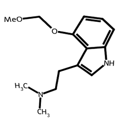 COCOc1cccc2[nH]cc(CCN(C)C)c12